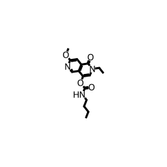 CCCCNC(=O)Oc1cn(CC)c(=O)c2cc(OC)ncc12